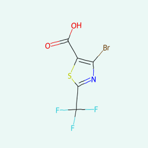 O=C(O)c1sc(C(F)(F)F)nc1Br